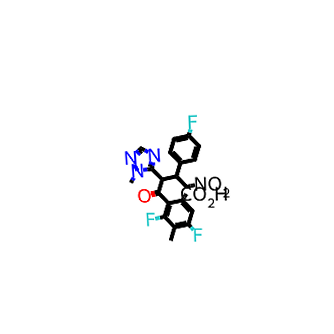 Cc1c(F)cc(C(=O)O)c(C(=O)C(c2ncnn2C)C(C[N+](=O)[O-])c2ccc(F)cc2)c1F